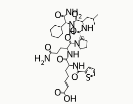 CC(C)CC(NC(=O)[C@@H]1CCCN1C(=O)C(CCC(N)=O)NC(=O)C(CCC=CC(=O)O)NC(=O)c1cccs1)C(=O)NC(C(N)=O)C1CCCCC1